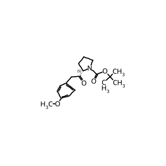 COc1ccc(CC(=O)[C@@H]2CCCN2C(=O)OC(C)(C)C)cc1